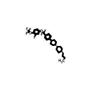 CCCC[C@H]1CC[C@H](C2CCC(c3ccc(C(F)(F)Oc4ccc(OC(F)(F)F)c(F)c4)cc3)CC2)CC1